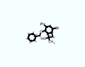 CC(C)c1cc(Br)c2c(c1OCc1ccccc1)C(C)(O)C2